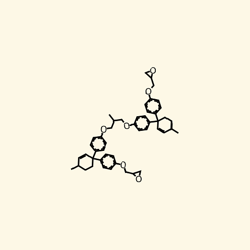 CC1C=CC(c2ccc(OCC(C)COc3ccc(C4(c5ccc(OCC6CO6)cc5)C=CC(C)CC4)cc3)cc2)(c2ccc(OCC3CO3)cc2)CC1